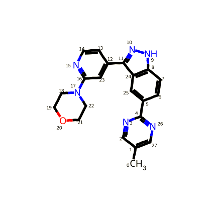 Cc1cnc(-c2ccc3[nH]nc(-c4ccnc(N5CCOCC5)c4)c3c2)nc1